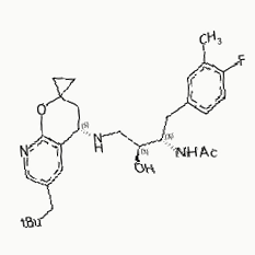 CC(=O)N[C@@H](Cc1ccc(F)c(C)c1)[C@@H](O)CN[C@H]1CC2(CC2)Oc2ncc(CC(C)(C)C)cc21